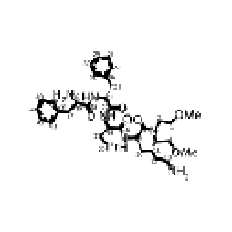 COCCN(CCOC)C(=O)[C@@H](CCCCN)NC(=O)[C@@H](CC(C)C)NC(=O)[C@@H](Cc1ccccc1)NC(=O)[C@H](N)Cc1ccccc1